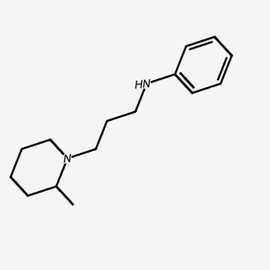 CC1CCCCN1CCCNc1ccccc1